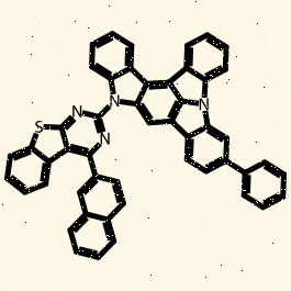 c1ccc(-c2ccc3c4cc5c(c6ccccc6n5-c5nc(-c6ccc7ccccc7c6)c6c(n5)sc5ccccc56)c5c6ccccc6n(c3c2)c45)cc1